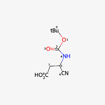 CC(C)(C)OC(=O)NC(C#N)CC(=O)O